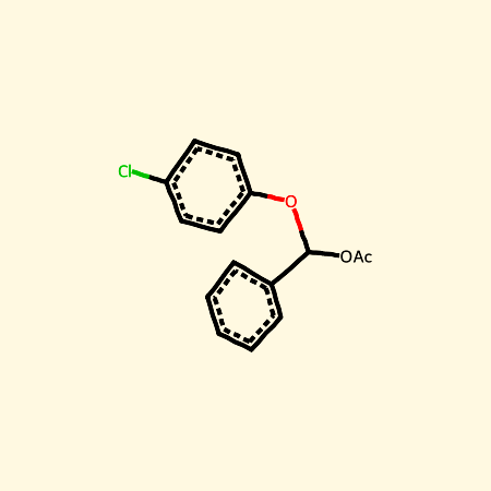 CC(=O)OC(Oc1ccc(Cl)cc1)c1ccccc1